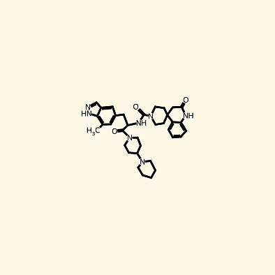 Cc1cc(CC(NC(=O)N2CCC3(CC2)CC(=O)Nc2ccccc23)C(=O)N2CCC(N3CCCCC3)CC2)cc2cn[nH]c12